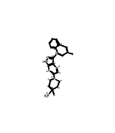 CC1Cc2ccccc2N(c2n[nH]c3nc(N4CCC(C)(N)CC4)cnc23)C1